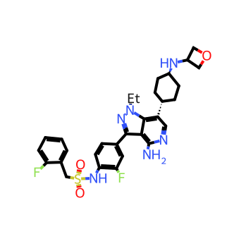 CCn1nc(-c2ccc(NS(=O)(=O)Cc3ccccc3F)c(F)c2)c2c(N)ncc([C@H]3CC[C@H](NC4COC4)CC3)c21